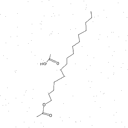 CC(=O)O.CCCCCCCCCCCCCCCCOC(C)=O